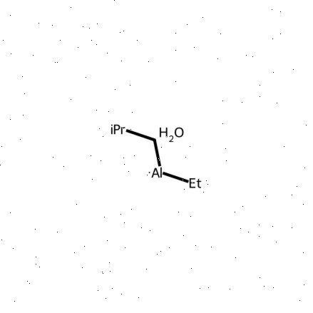 C[CH2][Al][CH2]C(C)C.O